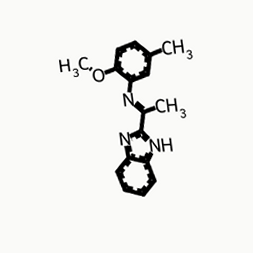 COc1ccc(C)cc1N=C(C)c1nc2ccccc2[nH]1